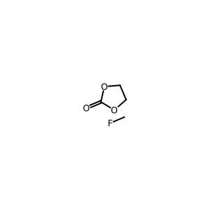 CF.O=C1OCCO1